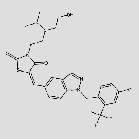 CC(C)N(CCO)CCN1C(=O)SC(=Cc2ccc3c(cnn3Cc3ccc(Cl)cc3C(F)(F)F)c2)C1=O